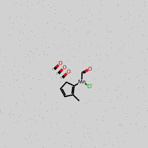 CC1=[C]([Mn]([Cl])[CH]=O)CC=C1.[C]=O.[C]=O.[C]=O